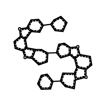 c1ccc(-c2ccc3oc4ccc5oc6ccc(-c7ccc8oc9ccc%10oc%11ccc(-c%12ccccc%12)cc%11c%10c9c8c7)cc6c5c4c3c2)cc1